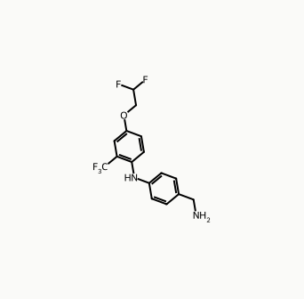 NCc1ccc(Nc2ccc(OCC(F)F)cc2C(F)(F)F)cc1